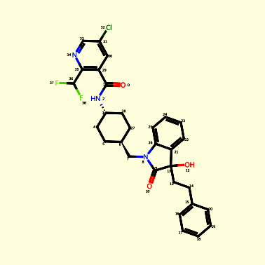 O=C(N[C@H]1CC[C@H](CN2C(=O)C(O)(CCc3ccccc3)c3ccccc32)CC1)c1cc(Cl)cnc1C(F)F